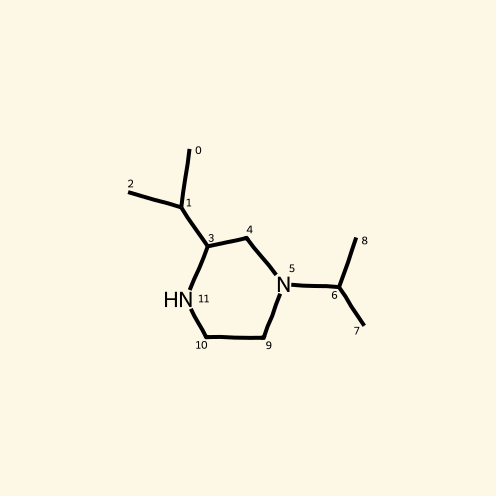 CC(C)C1CN(C(C)C)CCN1